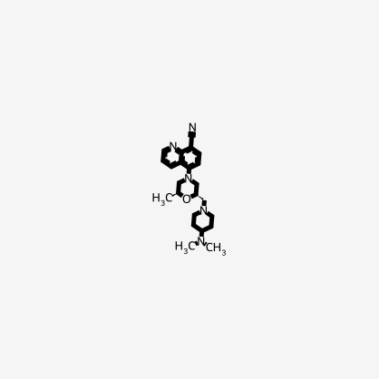 C[C@@H]1CN(c2ccc(C#N)c3ncccc23)C[C@H](CN2CCC(N(C)C)CC2)O1